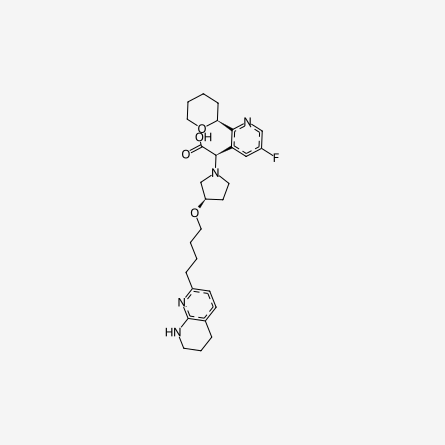 O=C(O)[C@@H](c1cc(F)cnc1[C@@H]1CCCCO1)N1CC[C@@H](OCCCCc2ccc3c(n2)NCCC3)C1